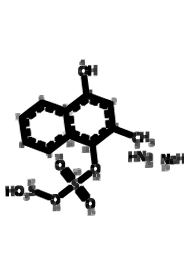 Cc1cc(O)c2ccccc2c1OS(=O)(=O)OS(=O)(=O)O.[NaH].[NaH]